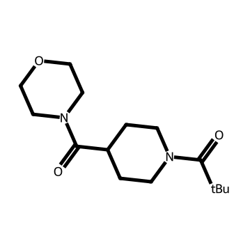 CC(C)(C)C(=O)N1CCC(C(=O)N2CCOCC2)CC1